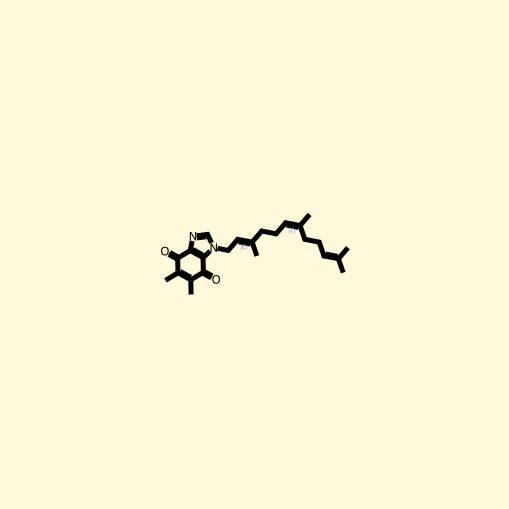 CC(C)=CCC/C(C)=C\CC/C(C)=C/Cn1cnc2c1C(=O)C(C)=C(C)C2=O